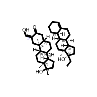 CC[C@]1(O)CC[C@H]2[C@@H]3CCC4=CCCC[C@@H]4[C@H]3CC[C@@]21C.C[C@]12C/C(=C/O)C(=O)C[C@@H]1CC[C@@H]1[C@@H]2CC[C@@]2(C)[C@H]1CC[C@]2(C)O